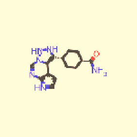 NC(=O)[C@H]1CC[C@H](C2=C3c4cc[nH]c4N=CN3NN2)CC1